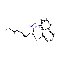 CCCCCC1Cc2cccc3cccc(c23)N1